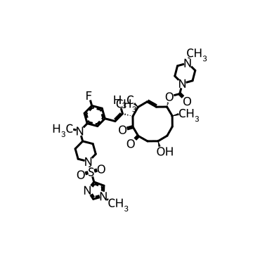 C/C(=C\c1cc(F)cc(N(C)C2CCN(S(=O)(=O)c3cn(C)cn3)CC2)c1)[C@H]1C(=O)C(=O)C[C@H](O)CC[C@H](C)[C@@H](OC(=O)N2CCN(C)CC2)/C=C/[C@@H]1C